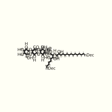 CCCCCCCCCCCCCCCCCCCCCCC(O)C(=O)NC(COP(=O)(O)OC1[C@H](O)[C@H](O)C(O[C@H]2O[C@H](C(=O)O)[C@@H](O[C@H]3O[C@H](CO)[C@@H](O)[C@H](O)[C@H]3O)[C@H](O)[C@H]2O)[C@H](O)[C@H]1O)C(O)C(O)CCCCCCCCCCCCCC